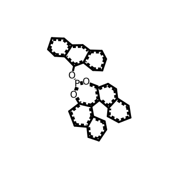 c1ccc2c(Op3oc4ccc5ccccc5c4c4c(ccc5ccccc54)o3)c3ccccc3cc2c1